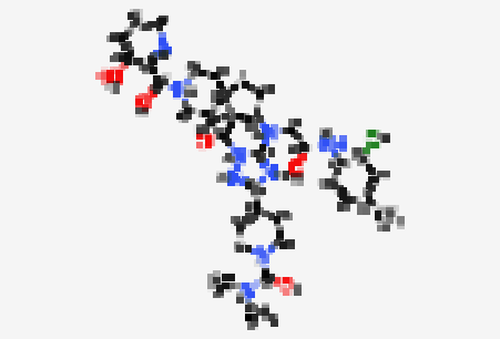 CN(C)C(=O)N1CC=C(c2nc3n(CC(=O)Nc4ccc(C(F)(F)F)cc4Cl)c4c(c(=O)n3n2)C2(CC4)CCN(C(=O)c3ncccc3O)CC2)CC1